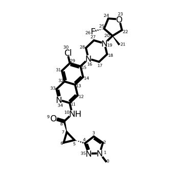 Cn1ccc([C@@H]2C[C@H]2C(=O)Nc2cc3cc(N4CCN([C@@]5(C)COC[C@H]5F)CC4)c(Cl)cc3cn2)n1